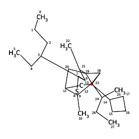 CCCC(CC)C1CSC2(C)C3CC(C4CCC4)C4C(C3)(C1C)C42C(C)CC